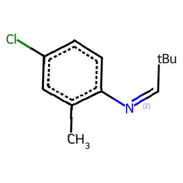 Cc1cc(Cl)ccc1/N=C\C(C)(C)C